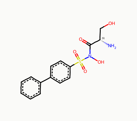 N[C@@H](CO)C(=O)N(O)S(=O)(=O)c1ccc(-c2ccccc2)cc1